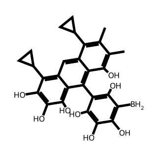 Bc1c(O)c(O)c(O)c(-c2c3c(O)c(C)c(C)c(C4CC4)c3cc3c(C4CC4)c(O)c(O)c(O)c23)c1O